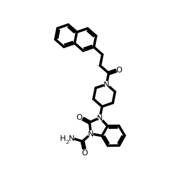 NC(=O)n1c(=O)n(C2CCN(C(=O)[CH]Cc3ccc4ccccc4c3)CC2)c2ccccc21